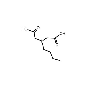 CCCCP(CC(=O)O)CC(=O)O